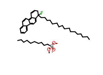 CCCCCCCCCCCCCCCCCC1(F)CC=Cc2c1ccc1c2ccc2ccccc21.CCCCCCCCCC[Si](OC)(OC)OC